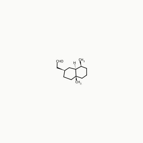 C[C@H]1CCC[C@]2(C)CC[C@@H](CC=O)C[C@@H]12